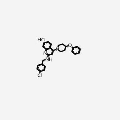 Cl.Clc1ccc(CNc2cc(N3CCC(Oc4ccccc4)CC3)c3ccccc3n2)cc1